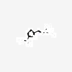 CN(C)/N=C/c1ccc([PH](C)=O)o1